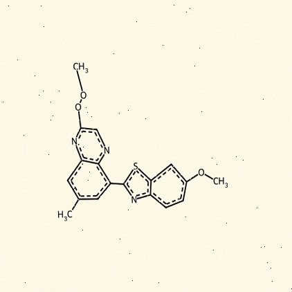 COOc1cnc2c(-c3nc4ccc(OC)cc4s3)cc(C)cc2n1